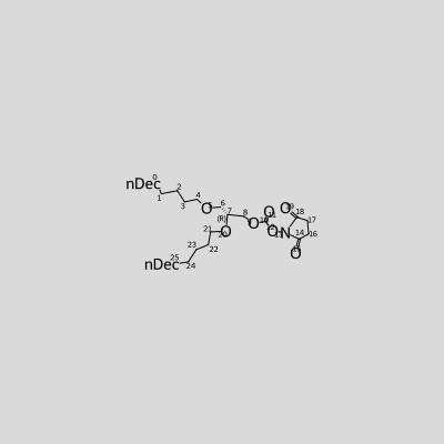 CCCCCCCCCCCCCCOC[C@H](COC(=O)ON1C(=O)CCC1=O)OCCCCCCCCCCCCCC